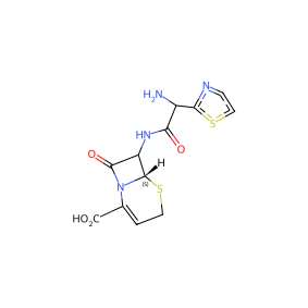 NC(C(=O)NC1C(=O)N2C(C(=O)O)=CCS[C@@H]12)c1nccs1